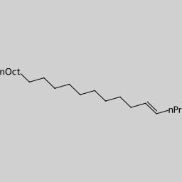 [CH2]CC/C=C/CCCCCCCCCCCCCCCC[CH2]